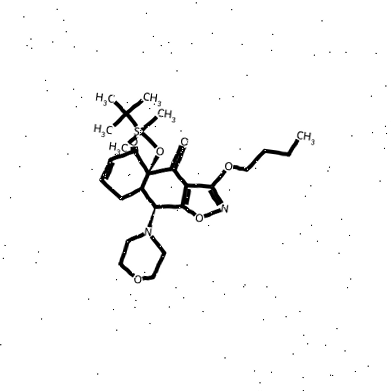 CCCCOc1noc2c1C(=O)[C@@]1(O[Si](C)(C)C(C)(C)C)C(=O)C=CCC1[C@@H]2N1CCOCC1